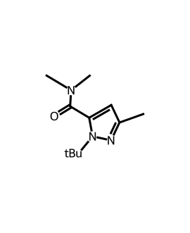 Cc1cc(C(=O)N(C)C)n(C(C)(C)C)n1